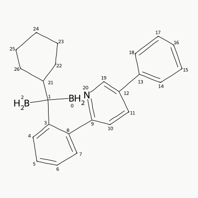 BC(B)(c1ccccc1-c1ccc(-c2ccccc2)cn1)C1CCCCC1